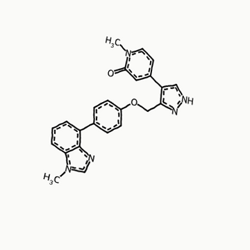 Cn1ccc(-c2c[nH]nc2COc2ccc(-c3cccc4c3ncn4C)cc2)cc1=O